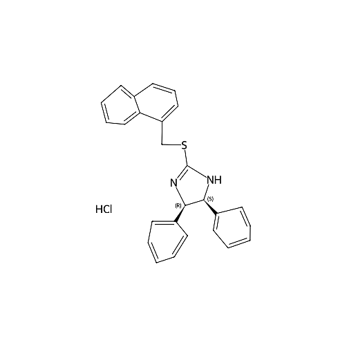 Cl.c1ccc([C@H]2N=C(SCc3cccc4ccccc34)N[C@H]2c2ccccc2)cc1